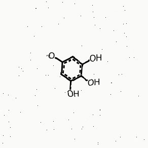 [O]c1cc(O)c(O)c(O)c1